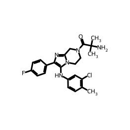 Cc1ccc(Nc2c(-c3ccc(F)cc3)nc3n2CCN(C(=O)C(C)(C)N)C3)cc1Cl